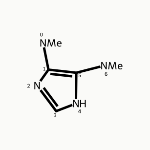 CNc1nc[nH]c1NC